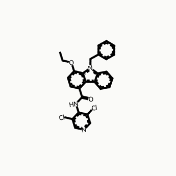 CCOc1ccc(C(=O)Nc2c(Cl)cncc2Cl)c2c3ccccc3n(Cc3ccccc3)c12